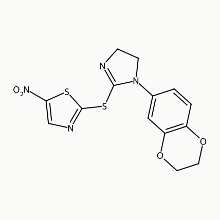 O=[N+]([O-])c1cnc(SC2=NCCN2c2ccc3c(c2)OCCO3)s1